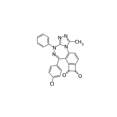 Cc1nnc2n1-c1ccc3c(=O)c(=O)c3c1C(c1ccc(Cl)cc1)=NN2c1ccccc1